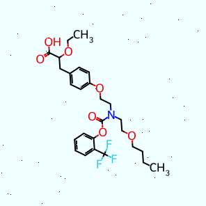 CCCCOCCN(CCOc1ccc(CC(OCC)C(=O)O)cc1)C(=O)Oc1ccccc1C(F)(F)F